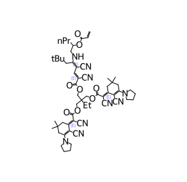 C=CC(=O)OC(CCC)CN/C(CC(C)(C)C)=C(C#N)/C=C(\C#N)C(=O)OCC(CC)(COC(=O)/C(C#N)=C1\CC(C)(C)CC(N2CCCC2)=C1C#N)COC(=O)/C(C#N)=C1\CC(C)(C)CC(N2CCCC2)=C1C#N